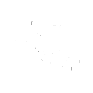 C=C/C(Cl)=C(C[C@H](OC(=O)[C@@H]1CCCCN1S(=O)(=O)c1cccc(S(=O)(=O)N(C)C)c1)c1ccc(OC(F)F)c(OCC2CC2)c1)\C(Cl)=C/C